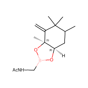 C=C1C(C)(C)C(C)C[C@H]2OB(CNC(C)=O)O[C@@]12C